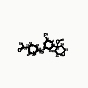 COC1(c2cc(F)cc(Sc3ccc(C(C)=O)cn3)c2)CCOCC1